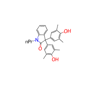 CCCN1C(=O)C(c2cc(C)c(O)c(C)c2)(c2cc(C)c(O)c(C)c2)c2ccccc21